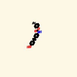 CC(=O)c1ccc(OC(=O)Nc2ccc(C(C)(C)c3ccc(O)cc3)cc2)cc1